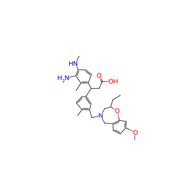 CCC1CN(Cc2cc(C(CC(=O)O)c3ccc(NC)c(N)c3C)ccc2C)Cc2ccc(OC)cc2O1